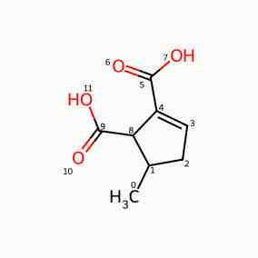 CC1CC=C(C(=O)O)C1C(=O)O